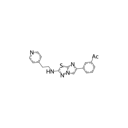 CC(=O)c1cccc(-c2cn3nc(NCCc4ccncc4)sc3n2)c1